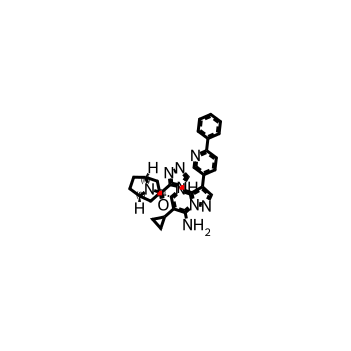 Nc1c(C2CC2)c([C@H]2C[C@H]3CC[C@@H](C2)N3C(=O)c2nnc[nH]2)nc2c(-c3ccc(-c4ccccc4)nc3)cnn12